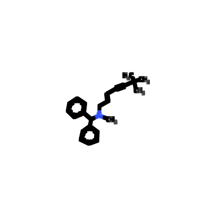 CN(C/C=C/C#CC(C)(C)C)C(c1ccccc1)c1ccccc1